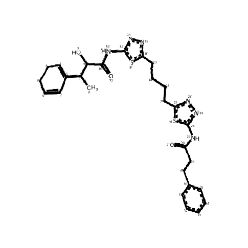 CC(C1=CCCC=C1)C(O)C(=O)Nc1nnc(CCCCc2nnc(NC(=O)CCc3ccccc3)s2)s1